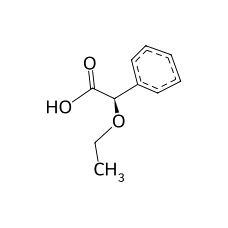 CCO[C@@H](C(=O)O)c1ccccc1